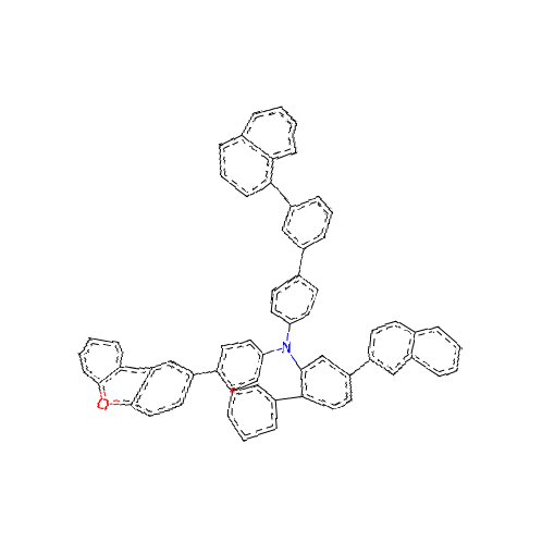 c1ccc(-c2ccc(-c3ccc4ccccc4c3)cc2N(c2ccc(-c3cccc(-c4cccc5ccccc45)c3)cc2)c2ccc(-c3ccc4oc5ccccc5c4c3)cc2)cc1